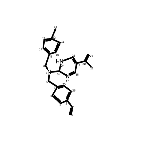 C=Cc1ccc(CN(Cc2ccc(C)cc2)C2N=CC(C(=C)C)=CN2)cc1